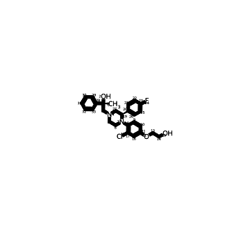 C[C@@](O)(CN1CCN(c2ccc(OCCO)cc2Cl)[C@H](c2ccc(F)cc2)C1)c1ccccc1